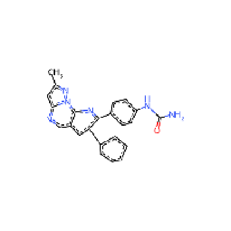 Cc1cc2ncc3cc(-c4ccccc4)c(-c4ccc(NC(N)=O)cc4)nc3n2n1